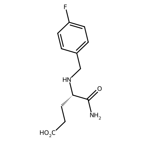 NC(=O)[C@H](CCC(=O)O)NCc1ccc(F)cc1